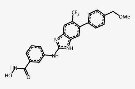 COCc1ccc(-c2cc3[nH]c(Nc4cccc(C(=O)NO)c4)nc3cc2C(F)(F)F)cc1